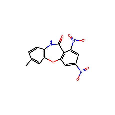 Cc1ccc2c(c1)Oc1cc([N+](=O)[O-])cc([N+](=O)[O-])c1C(=O)N2